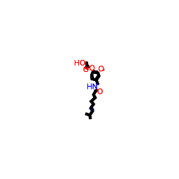 COc1cc(CNC(=O)CCCC/C=C/C(C)C)ccc1OC(=O)CO